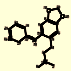 CN(C)CCc1cc2c(cc1N=C1C=CC=NC1)OCO2